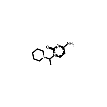 CC(N1CCCCC1)n1ccc(N)nc1=O